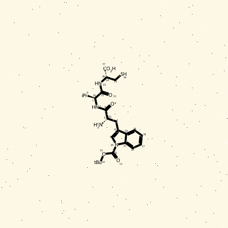 CC(C)[C@H](NC(=O)[C@@H](N)Cc1cn(C(=O)OC(C)(C)C)c2ccccc12)C(=O)N[C@@H](CS)C(=O)O